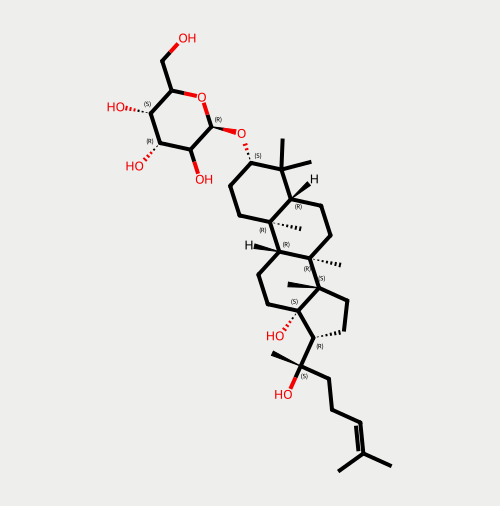 CC(C)=CCC[C@](C)(O)[C@H]1CC[C@@]2(C)[C@]3(C)CC[C@H]4C(C)(C)[C@@H](O[C@@H]5OC(CO)[C@@H](O)[C@@H](O)C5O)CC[C@]4(C)[C@H]3CC[C@]12O